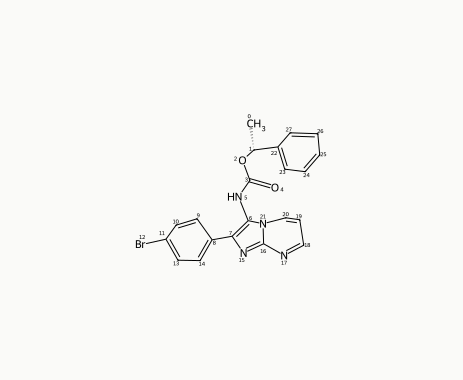 C[C@@H](OC(=O)Nc1c(-c2ccc(Br)cc2)nc2ncccn12)c1ccccc1